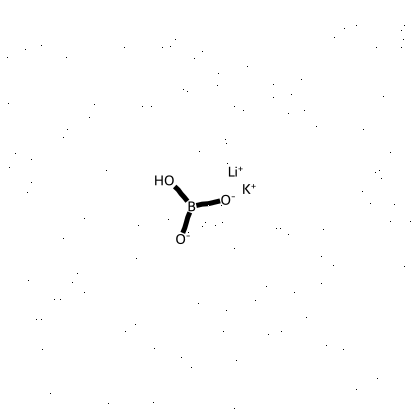 [K+].[Li+].[O-]B([O-])O